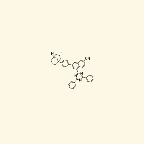 C[C@@H]1C[C@@H]2C[C@H](C)CC(c3ccc(-c4cc(-c5nc(-c6ccccc6)nc(-c6ccccc6)n5)c5ccc(C#N)cc5c4)cc3)(C1)C2